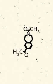 CC(=O)c1ccc2c(c1)CCN(C(C)=O)CC2